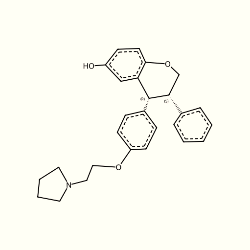 Oc1ccc2c(c1)[C@@H](c1ccc(OCCN3CCCC3)cc1)[C@@H](c1ccccc1)CO2